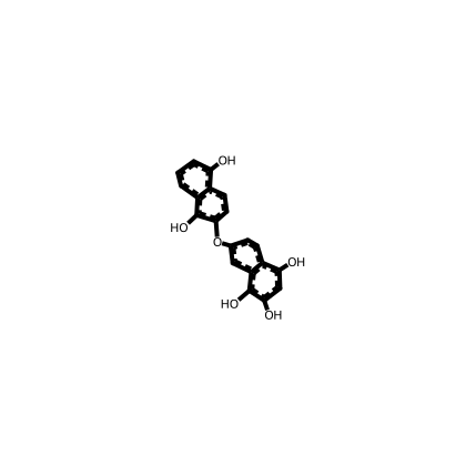 Oc1cc(O)c2ccc(Oc3ccc4c(O)cccc4c3O)cc2c1O